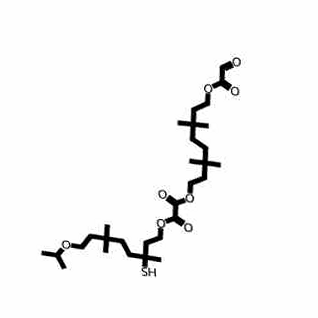 CC(C)OCCC(C)(C)CCC(C)(S)CCOC(=O)C(=O)OCCC(C)(C)CCC(C)(C)CCOC(=O)C=O